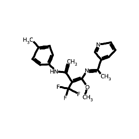 C=C(Nc1ccc(C)cc1)/C(=C(\N=C(/C)c1cccnc1)OC)C(F)(F)F